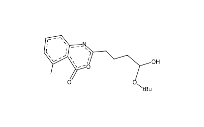 Cc1cccc2nc(CCCC(O)OC(C)(C)C)oc(=O)c12